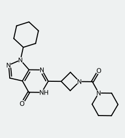 O=C(N1CCCCC1)N1CC(c2nc3c(cnn3C3CCCCC3)c(=O)[nH]2)C1